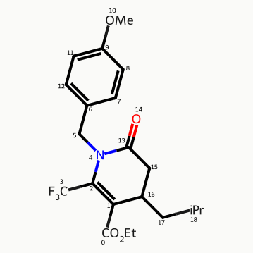 CCOC(=O)C1=C(C(F)(F)F)N(Cc2ccc(OC)cc2)C(=O)CC1CC(C)C